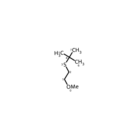 COCCSC(C)(C)C